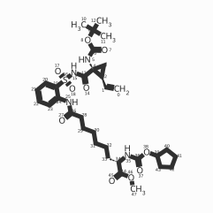 C=C[C@@H]1C[C@]1(NC(=O)OC(C)(C)C)C(=O)NS(=O)(=O)c1ccccc1NC(=O)CCCCCC[C@H](NC(=O)OC1CCCC1)C(=O)OC